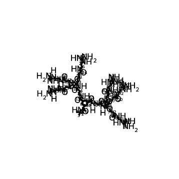 CC(C)(C)NC(=O)c1cc(C(=O)NCCC(=O)NC(COCCC(=O)NCCNC(=N)N)(COCCC(=O)NCCNC(=N)N)COCCC(=O)NCCNC(=N)N)cc(C(=O)NCCC(=O)NC(COCCC(=O)NCCNC(=N)N)(COCCC(=O)NCCNC(=N)N)COCCC(=O)NCCNC(=N)N)c1